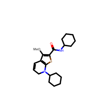 COc1c(C(=O)NC2CCCCC2)sc2c1C=CCN2C1CCCCC1